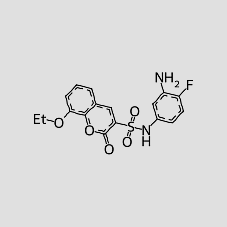 CCOc1cccc2cc(S(=O)(=O)Nc3ccc(F)c(N)c3)c(=O)oc12